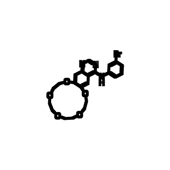 Brc1cccc(Nc2ncnc3cc4c(cc23)OCCOCCOCCOCCO4)c1